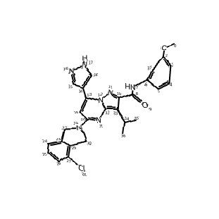 COc1cccc(NC(=O)c2nn3c(-c4cn[nH]c4)cc(N4Cc5cccc(Cl)c5C4)nc3c2C(C)C)c1